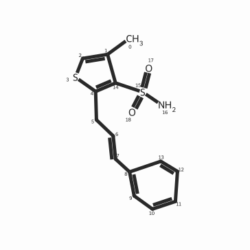 Cc1csc(CC=Cc2ccccc2)c1S(N)(=O)=O